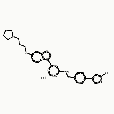 Cl.Cn1cc(-c2ccc(CNc3cc(-c4cnc5cc(OCCCN6CCCC6)ccn45)ncn3)cc2)cn1